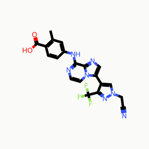 Cc1cc(Nc2nccn3c(-c4cn(CC#N)nc4C(F)(F)F)cnc23)ccc1C(=O)O